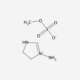 COS(=O)(=O)[O-].N[N+]1=CNCC1